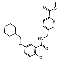 COC(=O)c1ccc(CNC(=O)c2cc(OCC3CCCCC3)ccc2Cl)cc1